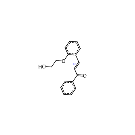 O=C(/C=C/c1ccccc1OCCO)c1ccccc1